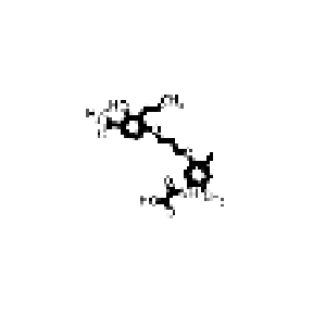 CCCc1c(OCCCOc2cc(NC(=O)C(=O)O)c(C)cc2I)ccc(C(C)=O)c1O